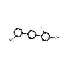 CCCc1ccc(-c2ccc(-c3cccc(C#N)c3)cc2)c(F)c1